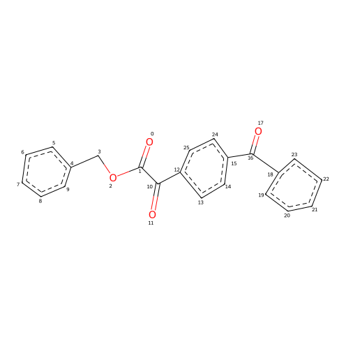 O=C(OCc1ccccc1)C(=O)c1ccc(C(=O)c2ccccc2)cc1